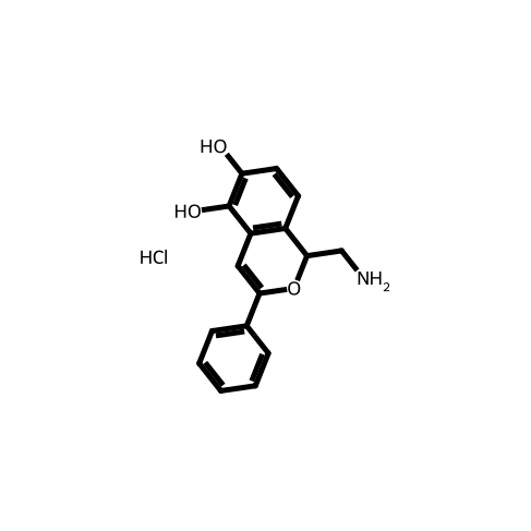 Cl.NCC1OC(c2ccccc2)=Cc2c1ccc(O)c2O